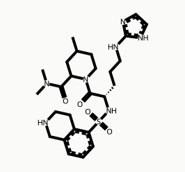 CC1CCN(C(=O)[C@H](CCCNc2ncc[nH]2)NS(=O)(=O)c2cccc3c2CCNC3)C(C(=O)N(C)C)C1